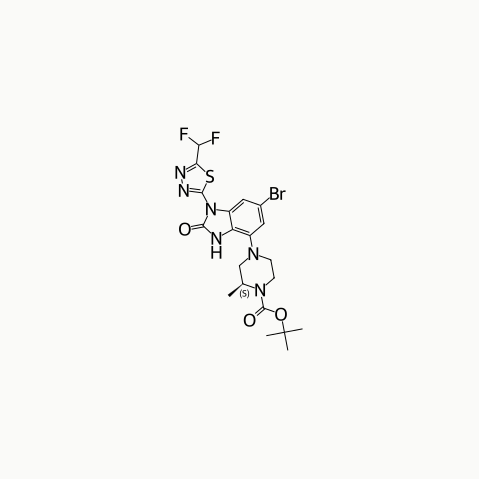 C[C@H]1CN(c2cc(Br)cc3c2[nH]c(=O)n3-c2nnc(C(F)F)s2)CCN1C(=O)OC(C)(C)C